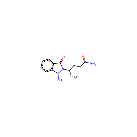 NC(=O)CCC(C(=O)O)N1C(=O)c2ccccc2C1N